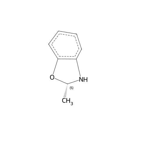 C[C@H]1Nc2ccccc2O1